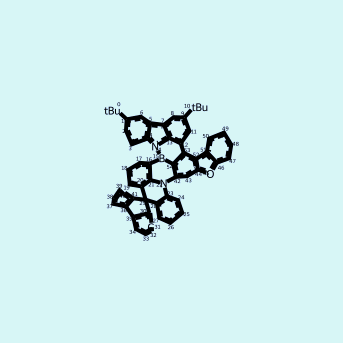 CC(C)(C)c1ccc2c(c1)c1cc(C(C)(C)C)cc3c1n2B1c2cccc4c2N(c2ccccc2C42c4ccccc4-c4ccccc42)c2cc4oc5ccccc5c4c-3c21